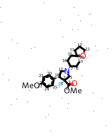 COC(=O)[C@]1(F)CN([C@H]2CC[C@@]3(CCCO3)CC2)C[C@H]1c1ccc(OC)cc1